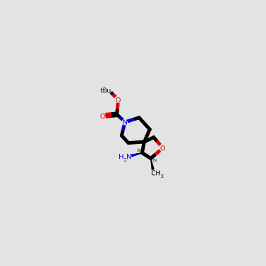 C[C@@H]1OCC2(CCN(C(=O)OC(C)(C)C)CC2)[C@@H]1N